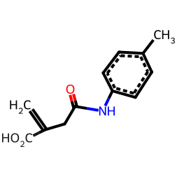 C=C(CC(=O)Nc1ccc(C)cc1)C(=O)O